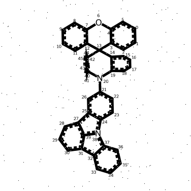 c1ccc2c(c1)Oc1ccccc1C21c2ccccc2N(c2ccc3c(c2)c2cccc4c5ccccc5n3c42)c2ccccc21